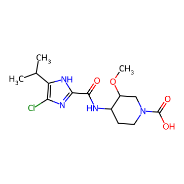 COC1CN(C(=O)O)CCC1NC(=O)c1nc(Cl)c(C(C)C)[nH]1